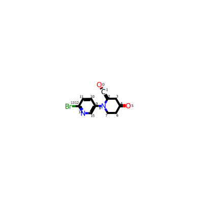 O=C=C1CC(=O)CCN1c1ccc(Br)nc1